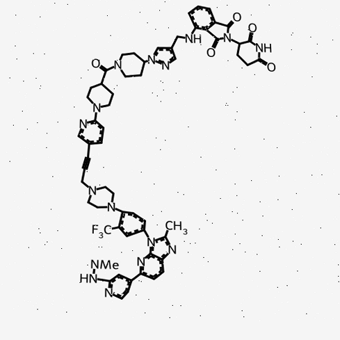 CNNc1cc(-c2ccc3nc(C)n(-c4ccc(N5CCN(CC#Cc6ccc(N7CCC(C(=O)N8CCC(n9cc(CNc%10cccc%11c%10C(=O)N(C%10CCC(=O)NC%10=O)C%11=O)cn9)CC8)CC7)nc6)CC5)c(C(F)(F)F)c4)c3n2)ccn1